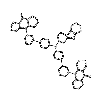 O=c1c2ccccc2n(-c2cccc(-c3ccc(N(c4ccc(-c5cccc(-n6c7ccccc7c(=O)c7ccccc76)c5)cc4)c4ccc5c(c4)oc4ccccc45)cc3)c2)c2ccccc12